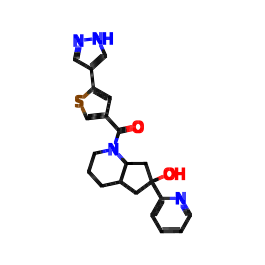 O=C(c1csc(-c2cn[nH]c2)c1)N1CCCC2CC(O)(c3ccccn3)CC21